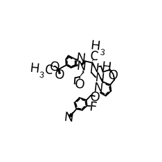 COC(=O)c1ccc2nc([C@H](C)N3CCN4c5nc(OCc6ccc(C#N)cc6F)ccc5COC[C@H]4C3)n(C[C@@H]3CCO3)c2c1